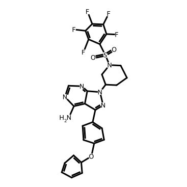 Nc1ncnc2c1c(-c1ccc(Oc3ccccc3)cc1)nn2C1CCCN(S(=O)(=O)c2c(F)c(F)c(F)c(F)c2F)C1